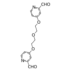 O=Cc1cc(OCCOCCOc2ccnc(C=O)c2)ccn1